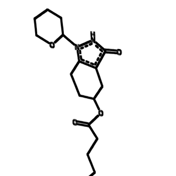 CCCCC(=O)OC1CCc2c(c(=O)[nH]n2C2CCCCO2)C1